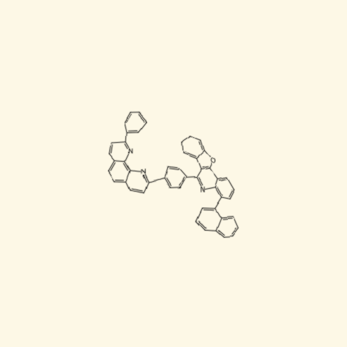 C1=c2oc3c(c(-c4ccc(-c5ccc6ccc7ccc(-c8ccccc8)nc7c6n5)cc4)nc4c(-c5cccc6ccccc56)cccc43)c2=CCC1